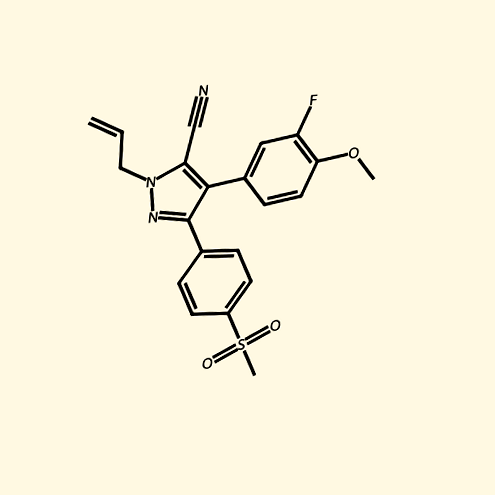 C=CCn1nc(-c2ccc(S(C)(=O)=O)cc2)c(-c2ccc(OC)c(F)c2)c1C#N